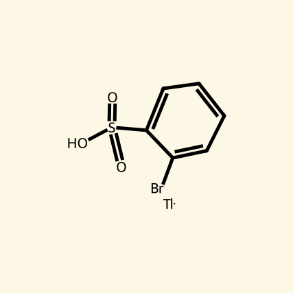 O=S(=O)(O)c1ccccc1Br.[Tl]